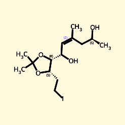 C/C(=C/C(O)[C@H]1OC(C)(C)O[C@H]1CCI)C[C@H](C)O